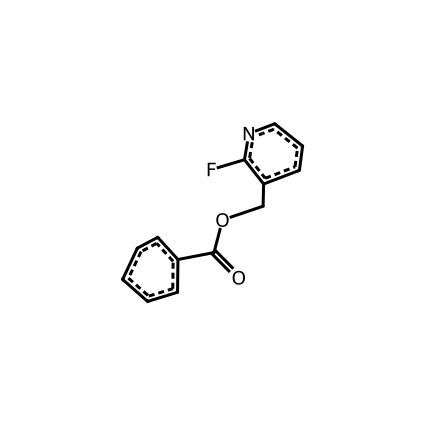 O=C(OCc1cccnc1F)c1ccccc1